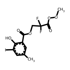 COOC(=O)C(F)(F)COC(=O)c1cc(C)cc(I)c1O